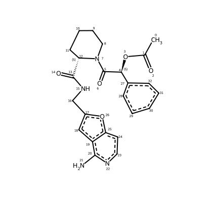 CC(=O)O[C@H](C(=O)N1CCCC[C@H]1C(=O)NCc1cc2c(N)nccc2o1)c1ccccc1